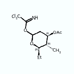 CC[C@H]1OC(OC(=N)C(Cl)(Cl)Cl)C[C@@H](OC(C)=O)[C@@H]1C